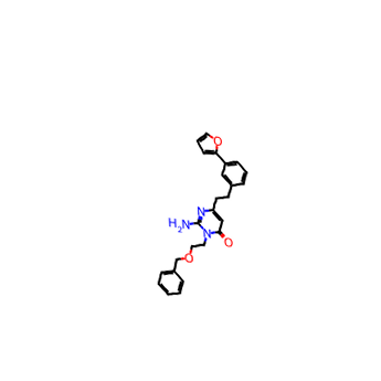 Nc1nc(CCc2cccc(-c3ccco3)c2)cc(=O)n1CCOCc1ccccc1